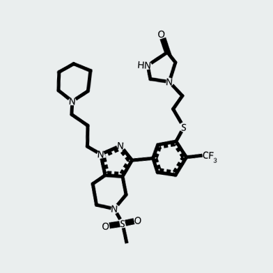 CS(=O)(=O)N1CCc2c(c(-c3ccc(C(F)(F)F)c(SCCN4CNC(=O)C4)c3)nn2CCCN2CCCCC2)C1